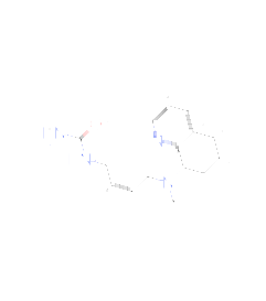 CN(C/C=C\CNC(N)=O)[C@H]1CCCc2cccnc21